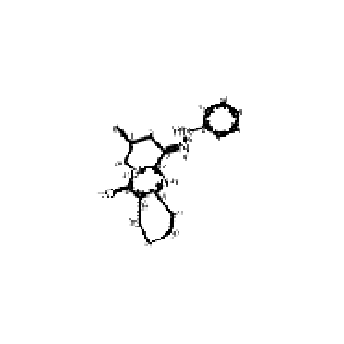 CC1C/C(=N\Nc2ccccc2)c2nc3c(c(=O)n2C1)CCCC3